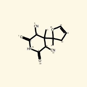 CC1(C2(C)C(C#N)C(=O)NC(=O)C2C#N)CC=CO1